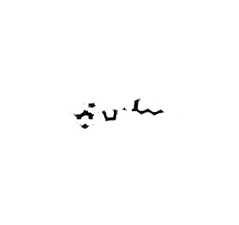 CC=C(CCCCC)SC[C@H]1O[C@@H](n2cnc3c(N)ncnc32)[C@H](O)[C@@H]1O